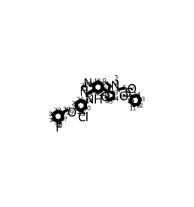 CC(N(C)CCS(=O)(=O)c1ccccc1)C1(c2ccc3ncnc(Nc4ccc(OCc5cccc(F)c5)c(Cl)c4)c3c2)CC=CO1